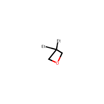 [CH2]CC1(CC)COC1